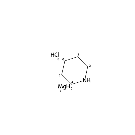 C1CCNCC1.Cl.[MgH2]